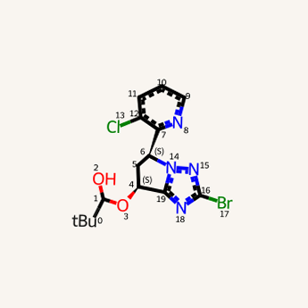 CC(C)(C)C(O)O[C@H]1C[C@@H](c2ncccc2Cl)n2nc(Br)nc21